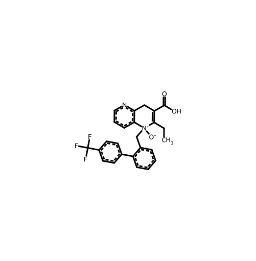 CCC1=C(C(=O)O)Cc2ncccc2[N+]1([O-])Cc1ccccc1-c1ccc(C(F)(F)F)cc1